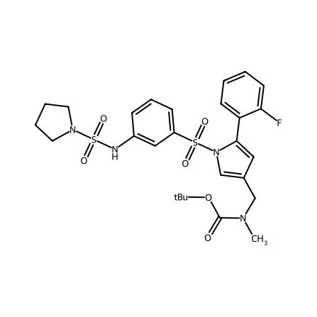 CN(Cc1cc(-c2ccccc2F)n(S(=O)(=O)c2cccc(NS(=O)(=O)N3CCCC3)c2)c1)C(=O)OC(C)(C)C